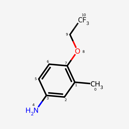 Cc1cc(N)ccc1OCC(F)(F)F